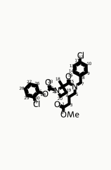 COC(=O)CCCN(Cc1ccc(Cl)cc1)C(=O)C1(C)CCN1C(=O)Oc1ccccc1Cl